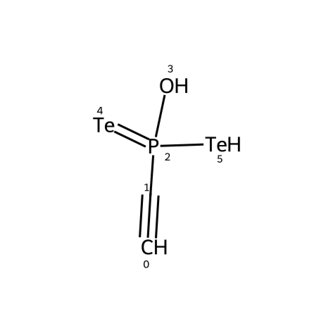 C#CP(O)(=[Te])[TeH]